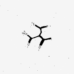 CC(=O)C(C(=O)O)C(F)F